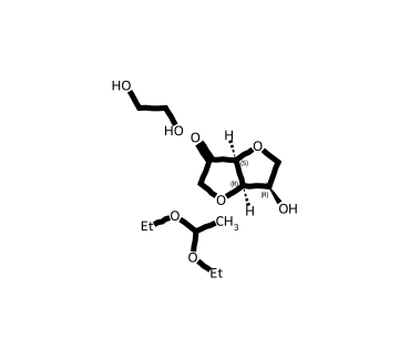 CCOC(C)OCC.O=C1CO[C@@H]2[C@H](O)CO[C@H]12.OCCO